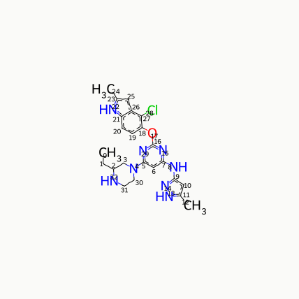 CCC1CN(c2cc(Nc3cc(C)[nH]n3)nc(Oc3ccc4[nH]c(C)cc4c3Cl)n2)CCN1